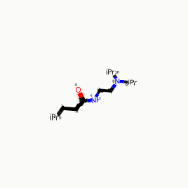 CC(C)CCC(=O)NCCN(C(C)C)C(C)C